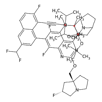 COc1c(F)c(-c2cc(C(F)F)cc3ccc(F)c(C#C[Si](C(C)C)(C(C)C)C(C)C)c23)c(F)c2nc(OC[C@@]34CCCN3C[C@H](F)C4)nc(N3CC4CCC(C3)N4C(=O)OC(C)(C)C)c12